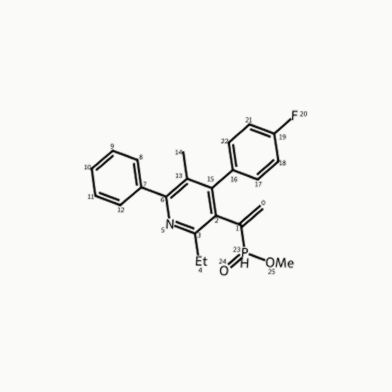 C=C(c1c(CC)nc(-c2ccccc2)c(C)c1-c1ccc(F)cc1)[PH](=O)OC